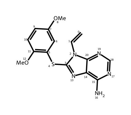 C=Cn1c(Sc2cc(OC)ccc2OC)nc2c(N)ncnc21